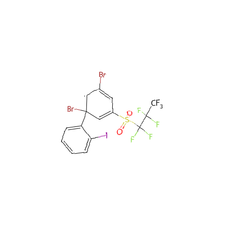 O=S(=O)(C1=CC(Br)(c2ccccc2I)[CH]C(Br)=C1)C(F)(F)C(F)(F)C(F)(F)F